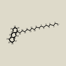 [CH2]CCCCCCCCCCCCCCCCc1cccc2cc3ccccc3cc12